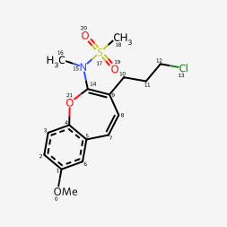 COc1ccc2c(c1)C=CC(CCCCl)=C(N(C)S(C)(=O)=O)O2